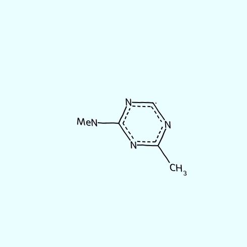 CNc1n[c]nc(C)n1